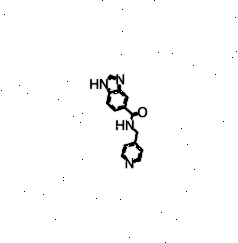 O=C(NCc1ccncc1)c1ccc2[nH]cnc2c1